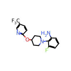 Nc1cccc(F)c1N1CCC(Oc2ccc(C(F)(F)F)cn2)CC1